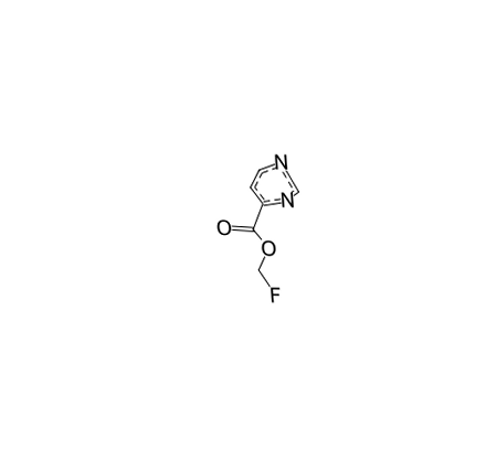 O=C(OCF)c1ccncn1